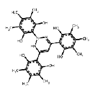 Cc1c(C)c(O)c(C2=CC(c3c(O)c(C)c(C)c(C)c3O)=NN(c3c(O)c(C)c(C)c(C)c3O)N2)c(O)c1C